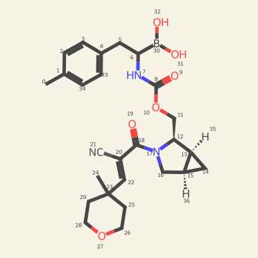 Cc1ccc(CC(NC(=O)OC[C@H]2[C@H]3C[C@H]3CN2C(=O)C(C#N)=CC2(C)CCOCC2)B(O)O)cc1